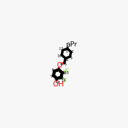 CCCC1CCC(COc2ccc(O)c(F)c2F)CC1